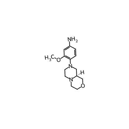 COc1cc(N)ccc1N1CCN2CCOC[C@@H]2C1